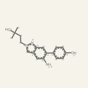 CC(C)(O)CCn1cc2cc(N)c(-c3ccc(O)cc3)cc2n1